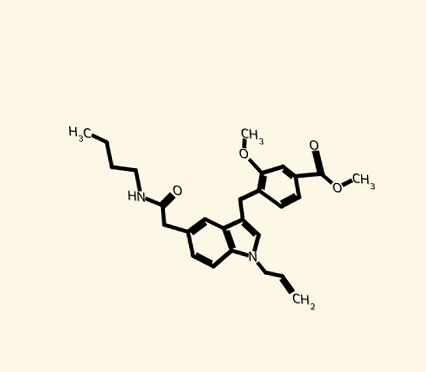 C=CCn1cc(Cc2ccc(C(=O)OC)cc2OC)c2cc(CC(=O)NCCCC)ccc21